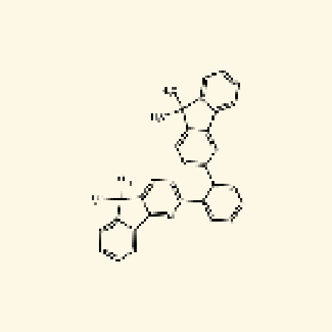 CC1(C)c2ccccc2-c2nc(-c3ccccc3-c3ccc4c(n3)-c3ccccc3C4(C)C)ccc21